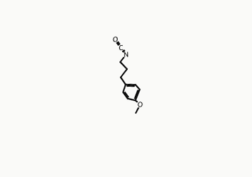 COc1ccc(CCCN=C=O)cc1